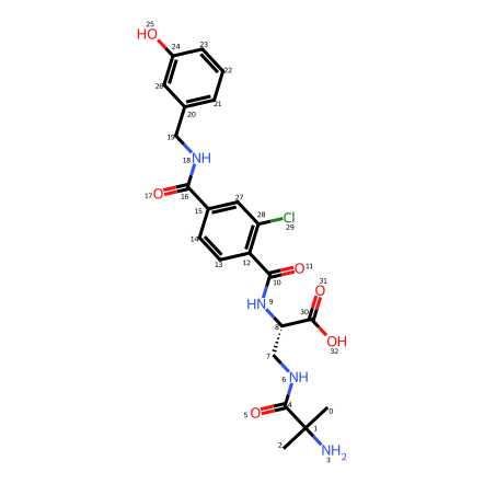 CC(C)(N)C(=O)NC[C@H](NC(=O)c1ccc(C(=O)NCc2cccc(O)c2)cc1Cl)C(=O)O